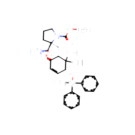 CC(C)(C)OC(=O)N1CCC[C@@]1(C[C@H]1C(=O)C=C[C@@H](O[Si](c2ccccc2)(c2ccccc2)C(C)(C)C)C1(C)C)C(N)=O